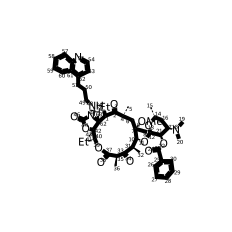 CCC1C(=O)[C@H](C)C[C@](C)(OC)[C@H](OC2O[C@H](C)C[C@H](N(C)C)[C@H]2OC(=O)c2ccccc2)[C@@H](C)C(=O)[C@@H](C)C(=O)O[C@H](CC)[C@@]2(C)OC(=O)N(NCCCc3ccnc4ccccc34)[C@H]12